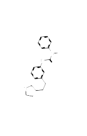 CN(C(=O)Nc1cccc(C[C@H](C(=O)O)[C@H]2CCNC2)c1)c1ccccc1